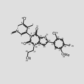 C=N/C=C(\C(C)=C(/C)Cl)n1c(=O)c2sc(-c3cc(OC)c(F)cc3Cl)cc2n(CCC#N)c1=O